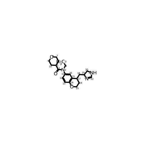 CCN(C(=O)C1CCOCC1)c1ccc2c(c1)C(CC1CNC=N1)CCO2